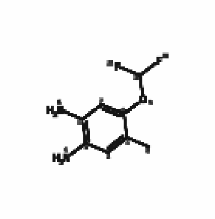 Cc1cc(N)c(N)cc1OC(F)F